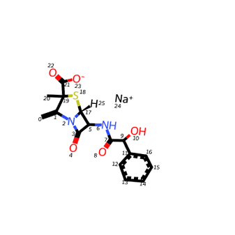 C=C1N2C(=O)C(NC(=O)C(O)c3ccccc3)[C@H]2SC1(C)C(=O)[O-].[Na+]